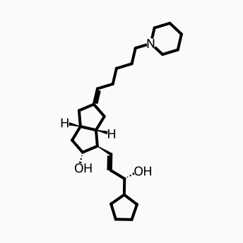 O[C@@H]1C[C@@H]2CC(=CCCCCN3CCCCC3)C[C@@H]2[C@H]1/C=C/[C@H](O)C1CCCC1